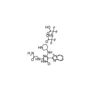 NC(=O)CNc1nc(N[C@@H]2CCCNC2)c(-c2nc3ccccc3s2)c(=O)[nH]1.O=C(O)C(F)(F)F.O=C(O)C(F)(F)F